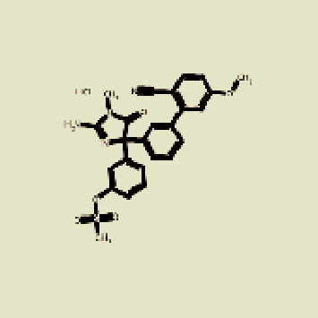 COc1ccc(C#N)c(-c2cccc(C3(c4cccc(OS(C)(=O)=O)c4)N=C(N)N(C)C3=O)c2)c1.Cl